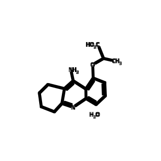 CC(Oc1cccc2nc3c(c(N)c12)CCCC3)C(=O)O.O